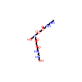 CCCNCCCNCCC(=O)OCCCOC(=O)CCN(CCCO)CCC(=O)OCCCOC(=O)CCNCCCNCCO